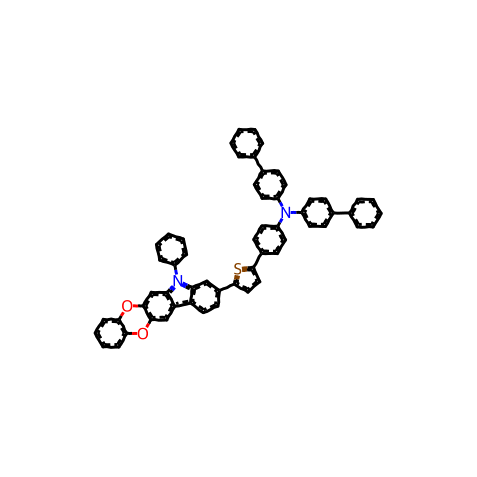 c1ccc(-c2ccc(N(c3ccc(-c4ccccc4)cc3)c3ccc(-c4ccc(-c5ccc6c7cc8c(cc7n(-c7ccccc7)c6c5)Oc5ccccc5O8)s4)cc3)cc2)cc1